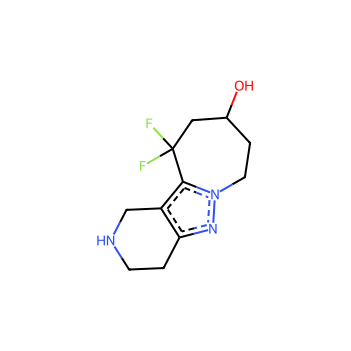 OC1CCn2nc3c(c2C(F)(F)C1)CNCC3